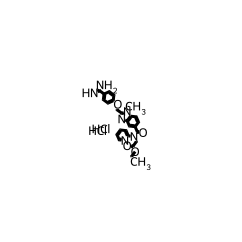 CCOC(=O)CN(C(=O)c1ccc2c(c1)nc(COc1ccc(C(=N)N)cc1)n2C)c1ccccn1.Cl.Cl